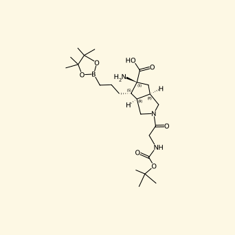 CC(C)(C)OC(=O)NCC(=O)N1C[C@@H]2C[C@@](N)(C(=O)O)[C@@H](CCCB3OC(C)(C)C(C)(C)O3)[C@@H]2C1